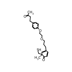 CC(=O)CCc1ccc(OCCOCCCC2=CC(C)(CS)C(=O)C=C2)cc1